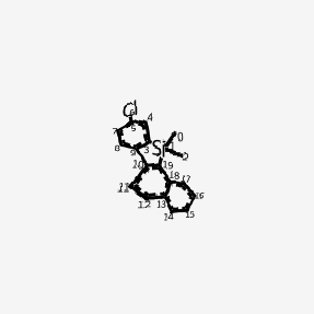 C[Si]1(C)c2cc(Cl)ccc2-c2ccc3ccccc3c21